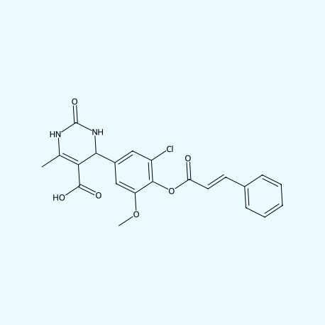 COc1cc(C2NC(=O)NC(C)=C2C(=O)O)cc(Cl)c1OC(=O)C=Cc1ccccc1